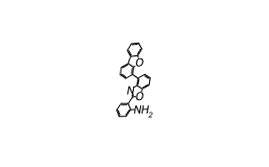 Nc1ccccc1-c1nc2c(-c3cccc4c3oc3ccccc34)cccc2o1